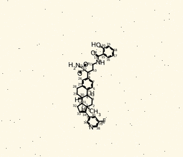 C[C@]12CC[C@@H]3c4ccc(C(CCNC(=O)c5ccccc5O)S(N)(=O)=O)cc4CC[C@H]3[C@@H]1CC=C2c1cncc(F)c1